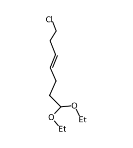 CCOC(CC/C=C/CCCl)OCC